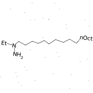 CCCCCCCCCCCCCCCCCCN(N)CC